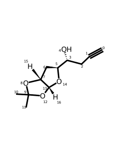 C#CC[C@@H](O)[C@@H]1C[C@H]2OC(C)(C)O[C@H]2O1